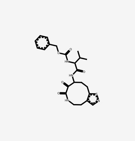 CC(C)C(NC(=O)OCc1ccccc1)C(=O)NC1CCc2sncc2CCNC(=O)C1=O